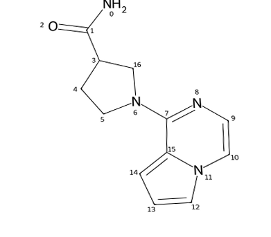 NC(=O)C1CCN(c2nccn3cccc23)C1